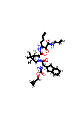 C=CCCC(NC(=O)[C@@H]1[C@H]2[C@@H](CN1C(=O)[C@@H](NC(=O)OCC1CC1)C1Cc3ccccc3C1)C2(C)C)C(=O)C(=O)NCC=C